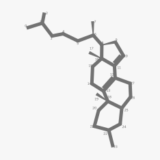 CC(C)CCC[C@@H](C)[C@H]1CC=C2C3=C(CC[C@@]21C)[C@@]1(C)CCC(C)CC1CC3